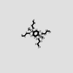 CCCC[Si](F)(CCCC)c1ccc([Si](F)(CCCC)CCCC)cc1